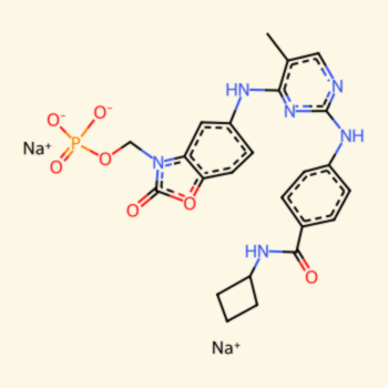 Cc1cnc(Nc2ccc(C(=O)NC3CCC3)cc2)nc1Nc1ccc2oc(=O)n(COP(=O)([O-])[O-])c2c1.[Na+].[Na+]